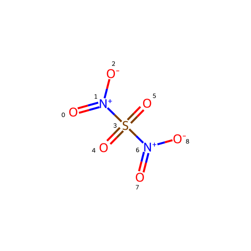 O=[N+]([O-])S(=O)(=O)[N+](=O)[O-]